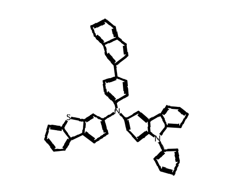 c1ccc(-n2c3ccccc3c3cc(N(c4ccc(-c5ccc6ccccc6c5)cc4)c4ccc5c(c4)sc4ccccc45)ccc32)cc1